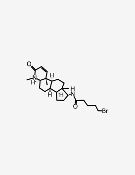 CN1C(=O)C=C[C@]2(C)[C@H]3CC[C@]4(C)[C@@H](NC(=O)CCCCBr)CC[C@H]4[C@@H]3CC[C@@H]12